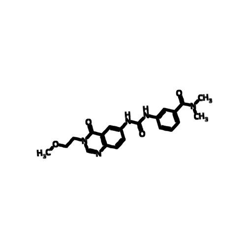 COCCn1cnc2ccc(NC(=O)Nc3cccc(C(=O)N(C)C)c3)cc2c1=O